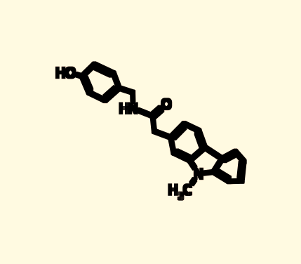 Cn1c2ccccc2c2ccc(CC(=O)NCc3ccc(O)cc3)cc21